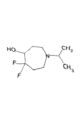 CC(C)N1CCC(O)C(F)(F)CC1